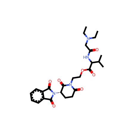 CCN(CC)CC(=O)NC(C(=O)OCCN1C(=O)CC[C@H](N2C(=O)c3ccccc3C2=O)C1=O)C(C)C